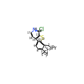 CC(C)Cc1c([Si](C)(C)C)ccc2c1sc1c(Cl)nccc12